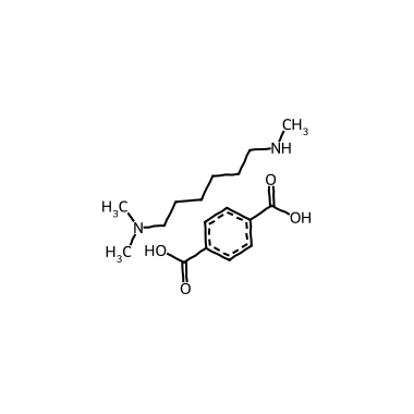 CNCCCCCCN(C)C.O=C(O)c1ccc(C(=O)O)cc1